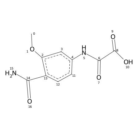 COc1cc(NC(=O)C(=O)O)ccc1C(N)=O